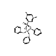 Cc1cc(C)cc(S(=O)(=O)O[Si](Cc2ccccc2)(Cc2ccccc2)Cc2ccccc2)c1